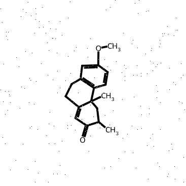 COc1ccc2c(c1)CCC1=CC(=O)C(C)CC12C